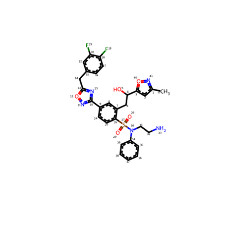 Cc1cc(C(O)Cc2cc(-c3noc(Cc4ccc(F)c(F)c4)n3)ccc2S(=O)(=O)N(CCN)c2ccccc2)on1